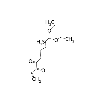 C=CC(=O)C(=O)CCC[SiH2]C(OCC)OCC